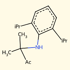 CC(=O)C(C)(C)Nc1c(C(C)C)cccc1C(C)C